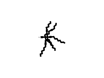 [C]#CC(CC#CCCCCCC)(CCC#CCCCCC)C(C#CCCCCCCCC)(CCCC#CCCCC)C(CC#CCCCCCCC)CCCC